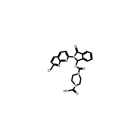 CCCC(=O)N1CCN(C(=O)OC2c3ccccc3C(=O)N2c2ccc3ccc(Cl)nc3n2)CC1